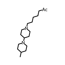 CC(=O)CCCCCN1CCC(N2CCC(C)CC2)CC1